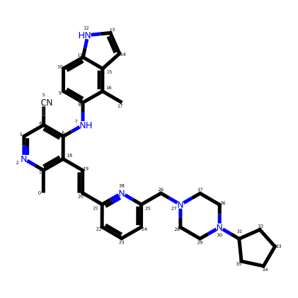 Cc1ncc(C#N)c(Nc2ccc3[nH]ccc3c2C)c1/C=C/c1cccc(CN2CCN(C3CCCC3)CC2)n1